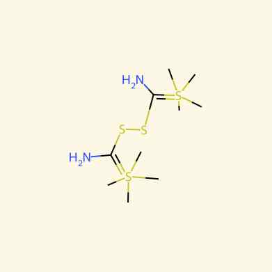 CS(C)(C)(C)=C(N)SSC(N)=S(C)(C)(C)C